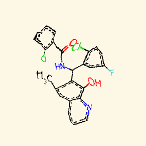 Cc1cc2cccnc2c(O)c1C(NC(=O)c1ccccc1Cl)c1cc(F)ccc1Cl